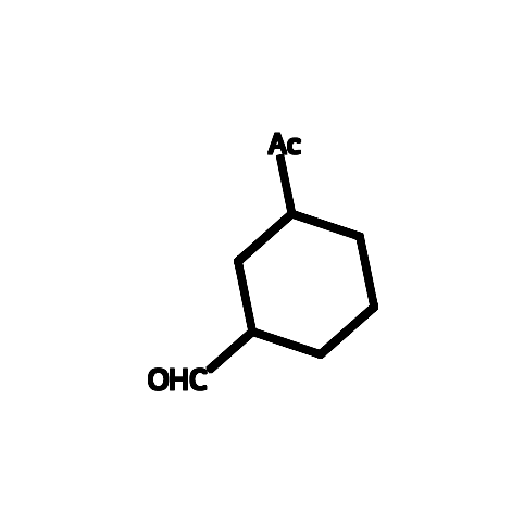 CC(=O)C1CCCC(C=O)C1